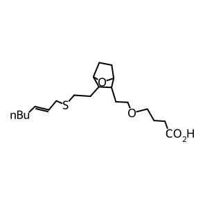 CCCC/C=C/CSCCC1C2CCC(O2)C1CCOCCCC(=O)O